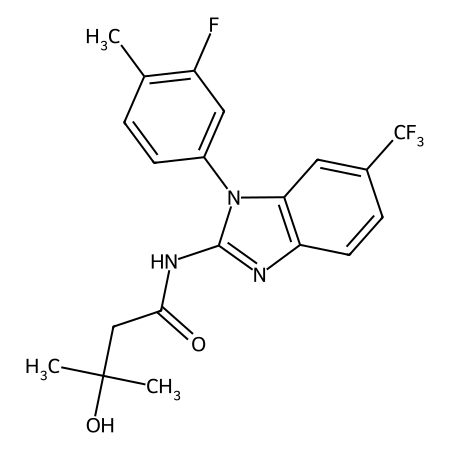 Cc1ccc(-n2c(NC(=O)CC(C)(C)O)nc3ccc(C(F)(F)F)cc32)cc1F